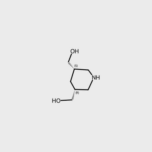 OC[C@@H]1CNC[C@H](CO)C1